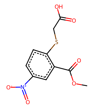 COC(=O)c1cc([N+](=O)[O-])ccc1SCC(=O)O